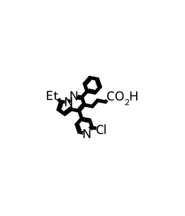 CCc1ccc2c(-c3ccnc(Cl)c3)c(CCCC(=O)O)c(-c3ccccc3)nn12